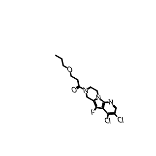 CCCOCCC(=O)N1CCn2c(c(F)c3c(Cl)c(Cl)cnc32)C1